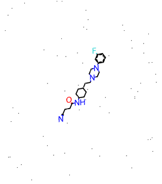 N#CCCC(=O)NC1CCC(CCN2CCN(c3cccc(F)c3)CC2)CC1